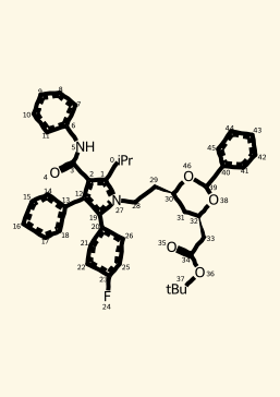 CC(C)c1c(C(=O)Nc2ccccc2)c(-c2ccccc2)c(-c2ccc(F)cc2)n1CC[C@@H]1C[C@H](CC(=O)OC(C)(C)C)OC(c2ccccc2)O1